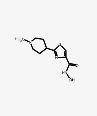 O=C(NO)c1csc(C2CCN(C(=O)O)CC2)n1